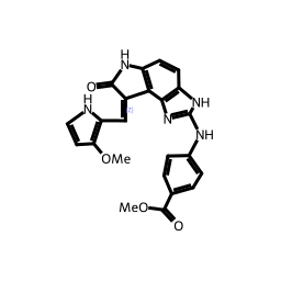 COC(=O)c1ccc(Nc2nc3c4c(ccc3[nH]2)NC(=O)/C4=C\c2[nH]ccc2OC)cc1